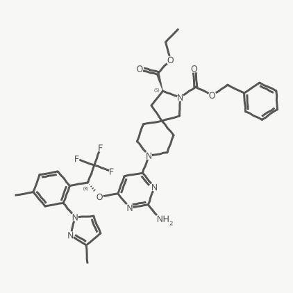 CCOC(=O)[C@@H]1CC2(CCN(c3cc(O[C@H](c4ccc(C)cc4-n4ccc(C)n4)C(F)(F)F)nc(N)n3)CC2)CN1C(=O)OCc1ccccc1